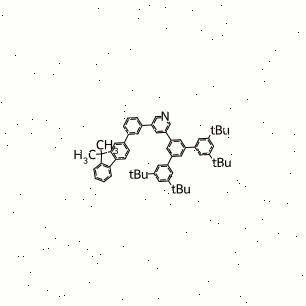 CC(C)(C)c1cc(-c2cc(-c3cncc(-c4cccc(-c5ccc6c(c5)C(C)(C)c5ccccc5-6)c4)c3)cc(-c3cc(C(C)(C)C)cc(C(C)(C)C)c3)c2)cc(C(C)(C)C)c1